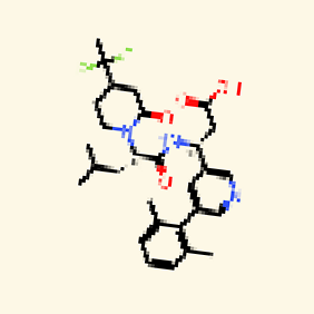 Cc1cccc(C)c1-c1cncc([C@H](CC(=O)O)NC(=O)[C@H](CC(C)C)N2CCC(C(C)(F)F)CC2=O)c1